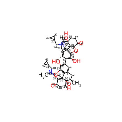 C[C@@H]1Cc2cc(-c3cc4c5c(c3O)OC3C(=O)CC[C@@]6(O)[C@@H](C4)N(CC4CC4)CC[C@]536)c(O)c3c2[C@@]2(CCN(C)CC4CC4)C(O3)C(=O)CC[C@@]12O